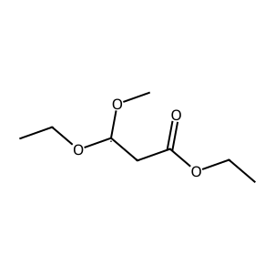 CCO[C](CC(=O)OCC)OC